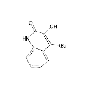 CC(C)(C)c1c(O)c(=O)[nH]c2ccccc12